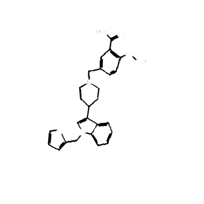 COc1ccc(CN2CCC(c3cn(Cc4ccco4)c4ccccc34)CC2)cc1C(=O)O